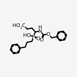 O=C(O)CCC(NC(=O)OCc1ccccc1)P(=O)(O)CCCc1ccccc1